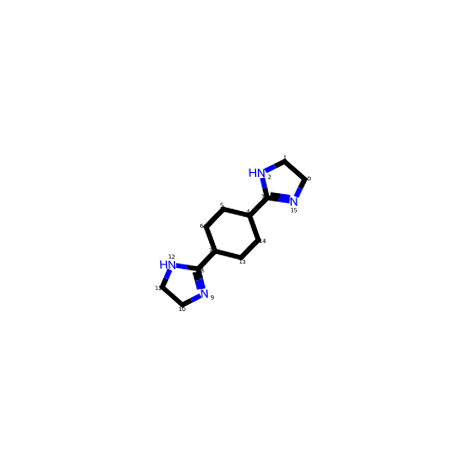 C1CNC(C2CCC(C3=NCCN3)CC2)=N1